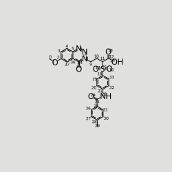 COc1ccc2nnn(CCC(C(=O)O)S(=O)(=O)c3ccc(NC(=O)c4ccc(C)cc4)cc3)c(=O)c2c1